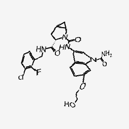 NC(=O)n1cc(NC(=O)N2C3CC3C[C@H]2C(=O)NCc2cccc(Cl)c2F)c2ccc(OCCO)cc21